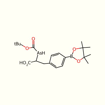 CC(C)(C)OC(=O)[AsH]C(Cc1ccc(B2OC(C)(C)C(C)(C)O2)cc1)C(=O)O